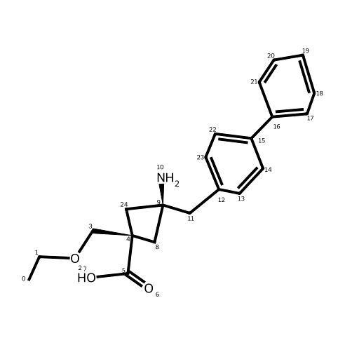 CCOC[C@]1(C(=O)O)C[C@@](N)(Cc2ccc(-c3ccccc3)cc2)C1